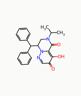 CC(C)N1CC(C(c2ccccc2)c2ccccc2)n2ncc(=O)c(O)c2C1=O